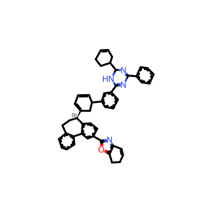 C1=CC(c2cccc(C3=NC(c4ccccc4)=NC(C4CC=CCC4)N3)c2)CC([C@@H]2CCc3ccccc3-c3cc(-c4nc5c(o4)CCC=C5)ccc32)=C1